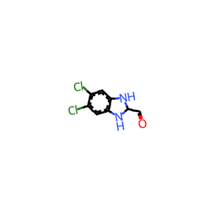 O=CC1Nc2cc(Cl)c(Cl)cc2N1